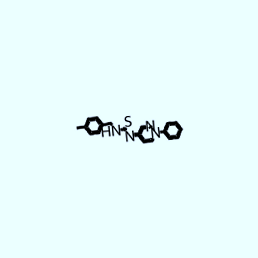 Cc1ccc(CNC(=S)/N=c2/ccn(-c3ccccc3)nc2)cc1